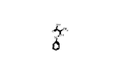 CC(N[Se]c1ccccc1)C(=O)O